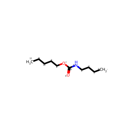 [CH2]CCCNC(=O)OCCCCC